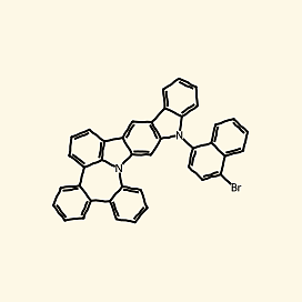 Brc1ccc(-n2c3ccccc3c3cc4c5cccc6c5n(c4cc32)-c2ccccc2-c2ccccc2-6)c2ccccc12